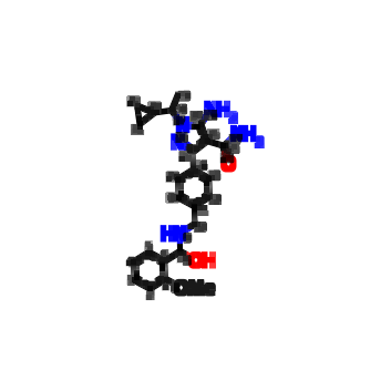 COc1ccccc1C(O)NCc1ccc(-c2nn(C(C)C3CC3)c(N)c2C(N)=O)cc1